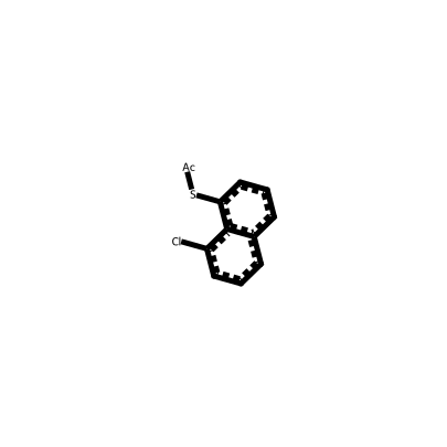 CC(=O)Sc1cccc2cccc(Cl)c12